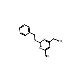 CSc1cc(N)nc(SCc2ccccc2)n1